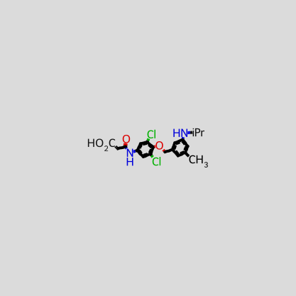 Cc1cc(COc2c(Cl)cc(NC(=O)CC(=O)O)cc2Cl)cc(NC(C)C)c1